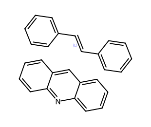 C(=C\c1ccccc1)/c1ccccc1.c1ccc2nc3ccccc3cc2c1